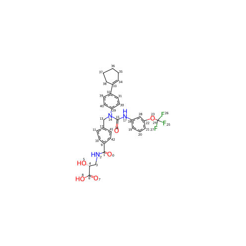 O=C(NC[C@@H](O)C(=O)O)c1ccc(CN(C(=O)Nc2cccc(OC(F)(F)F)c2)c2ccc(C3=CCCCC3)cc2)cc1